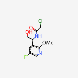 COc1ncc(F)cc1C(CO)NC(=O)CCl